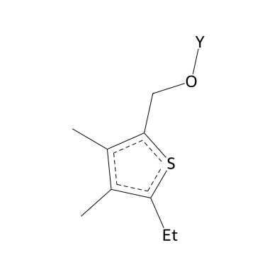 CCc1sc(C[O][Y])c(C)c1C